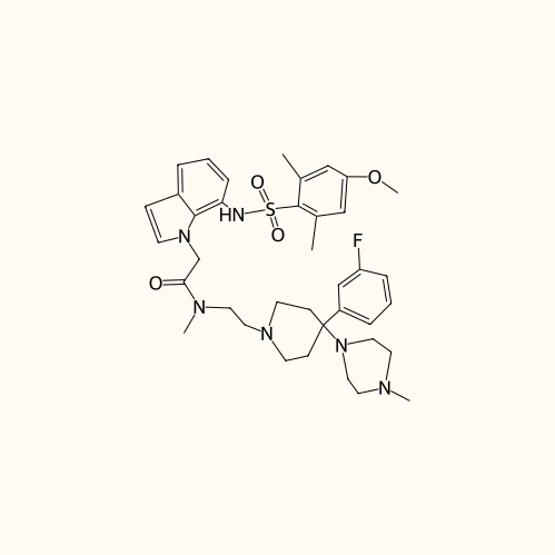 COc1cc(C)c(S(=O)(=O)Nc2cccc3ccn(CC(=O)N(C)CCN4CCC(c5cccc(F)c5)(N5CCN(C)CC5)CC4)c23)c(C)c1